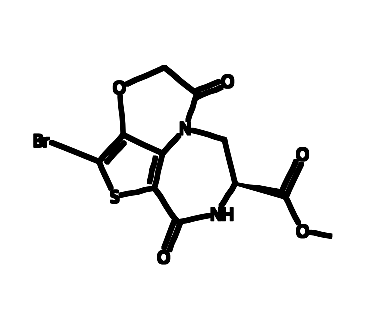 COC(=O)[C@@H]1CN2C(=O)COc3c(Br)sc(c32)C(=O)N1